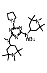 CCCCN(c1nc(N2CCCC2)nc(N(C)C2CC(C)(C)N(C)C(C)(C)C2)n1)C1CC(C)(C)N(C)C(C)(C)C1